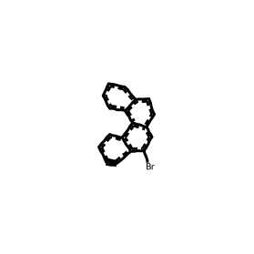 Brc1cc2ccc3ccccc3c2c2ccc#cc12